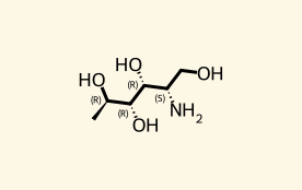 C[C@@H](O)[C@@H](O)[C@H](O)[C@@H](N)CO